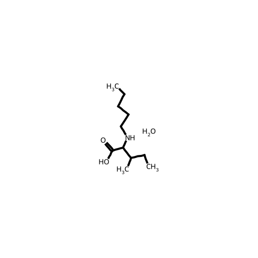 CCCCCNC(C(=O)O)C(C)CC.O